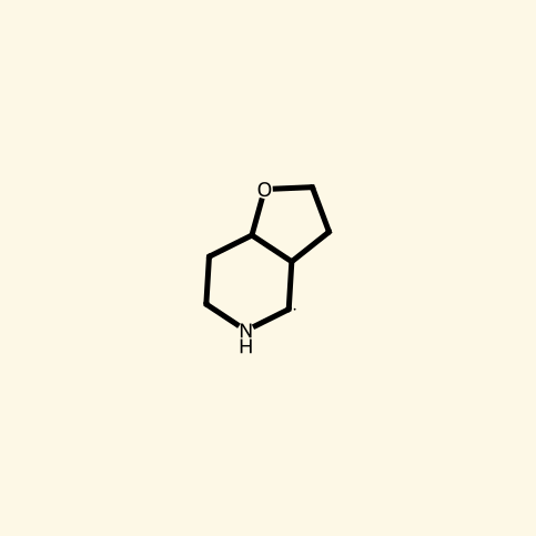 [CH]1NCCC2OCCC12